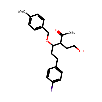 COc1ccc(COC(CCc2ccc(I)cc2)C(CCO)C(=O)OCC(C)C)cc1